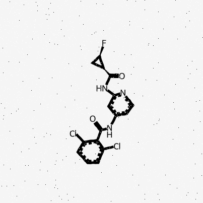 O=C(Nc1ccnc(NC(=O)[C@H]2C[C@H]2F)c1)c1c(Cl)cccc1Cl